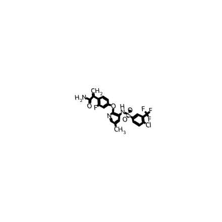 C=C(C(N)=O)c1ccc(Oc2ncc(C)cc2NS(=O)(=O)c2ccc(Cl)c(C(F)(F)F)c2)cc1F